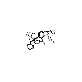 C/C(C=O)=C\c1ccc(C(C)(C)CC2CCCCC2)cc1